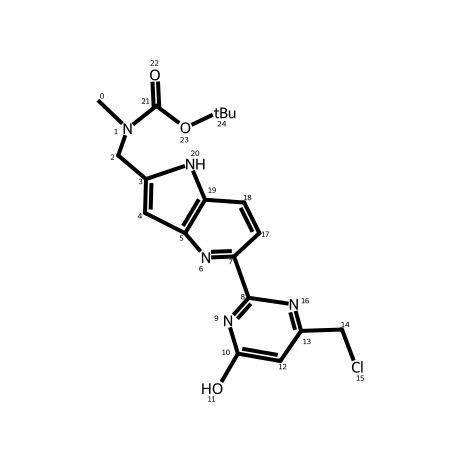 CN(Cc1cc2nc(-c3nc(O)cc(CCl)n3)ccc2[nH]1)C(=O)OC(C)(C)C